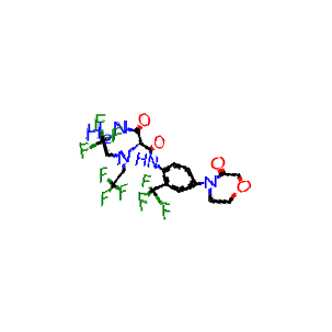 NC(=O)[C@@H](C(=O)Nc1ccc(N2CCOCC2=O)cc1C(F)(F)F)N(CC(F)(F)F)CC(F)(F)F